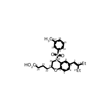 CCC(=Cc1ccc2c(c1)N(S(=O)(=O)c1cccc(C)c1)C[C@H](CCCC(=O)O)O2)CC